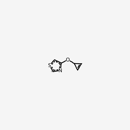 [c]1nc(OC2C=C2)cs1